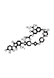 CNC(=O)COc1cc2cc(Nc3nc(N4CCC(OC5CC(N6CCC7(CC6)CN(c6ccc8c(c6C)C(=O)N([C@@H]6CCC(=O)NC6=O)C8=O)C7)C5)CC4)ncc3Cl)ccc2n(C(C)C)c1=O